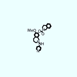 COc1cc2c(cc1OC(=O)N1CCc3ccccc3C1)CN(Nc1ccncc1)CCC2